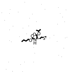 CCCCOC(=O)N[C@@H](CCSC)C(=O)OC(C)C